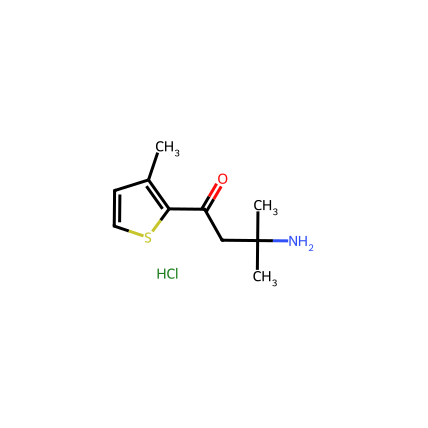 Cc1ccsc1C(=O)CC(C)(C)N.Cl